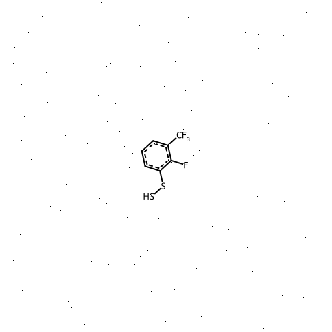 Fc1c(SS)cccc1C(F)(F)F